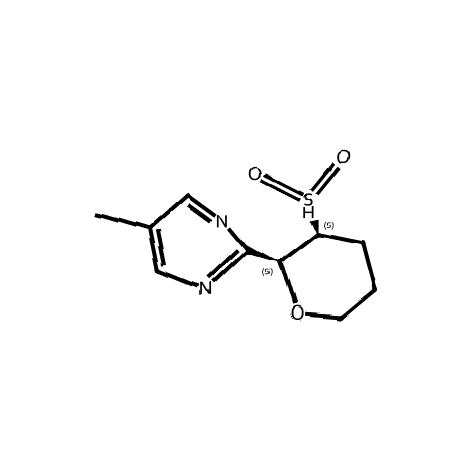 Cc1cnc([C@@H]2OCCC[C@@H]2[SH](=O)=O)nc1